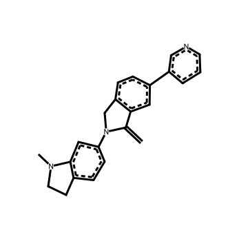 C=C1c2cc(-c3cccnc3)ccc2CN1c1ccc2c(c1)N(C)CC2